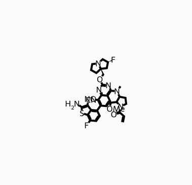 C=CC(=O)N1CCC(N(C)c2nc(OC[C@@]34CCCN3C[C@H](F)C4)nc3c(C#N)c(-c4ccc(F)c5sc(N)c(C#N)c45)ccc23)C1COC